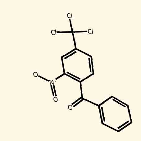 O=C(c1ccccc1)c1ccc(C(Cl)(Cl)Cl)cc1[N+](=O)[O-]